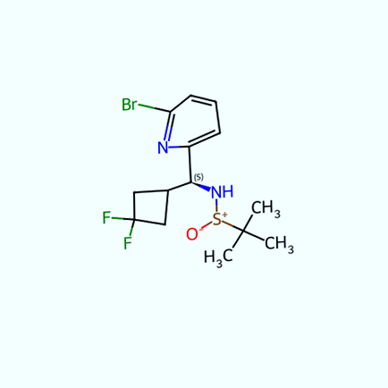 CC(C)(C)[S+]([O-])N[C@H](c1cccc(Br)n1)C1CC(F)(F)C1